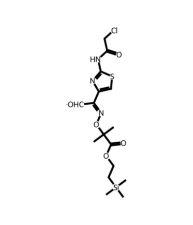 CC(C)(ON=C([C]=O)c1csc(NC(=O)CCl)n1)C(=O)OCC[Si](C)(C)C